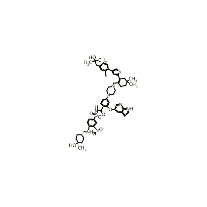 CC(C)(O)Cc1ccc(-c2csc(C3=C(CN4CCN(c5ccc(C(=O)NS(=O)(=O)c6ccc(NC[C@H]7CC[C@](C)(O)CC7)c([N+](=O)[O-])c6)c(Oc6cnc7[nH]ccc7c6)c5)CC4)CCC(C)(C)C3)c2)c(F)c1